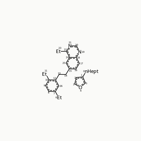 CCCCCCCc1ccoc1.CCc1ccc(CC)c(CCc2ccc3ncnc(CC)c3c2)c1